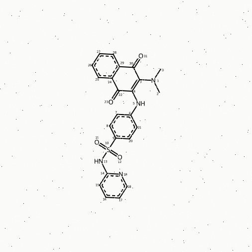 CN(C)C1=C(Nc2ccc(S(=O)(=O)Nc3ccccn3)cc2)C(=O)c2ccccc2C1=O